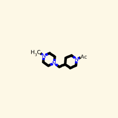 CC(=O)N1CCC(CN2CCN(C)CC2)CC1